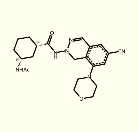 CC(=O)N[C@@H]1CCC[C@H](C(=O)NN2Cc3c(cc(C#N)cc3N3CCOCC3)C=N2)C1